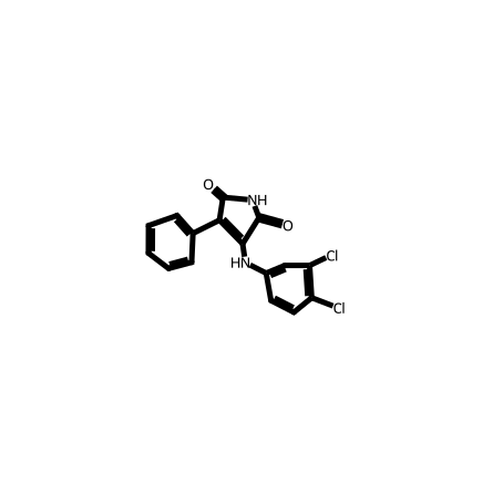 O=C1NC(=O)C(c2ccccc2)=C1Nc1ccc(Cl)c(Cl)c1